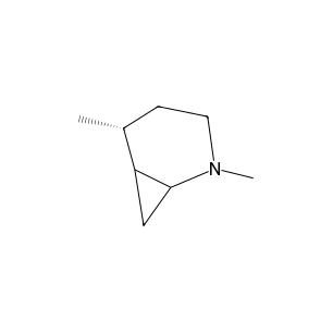 C[C@@H]1CCN(C)C2CC21